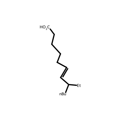 CCCCC(C=CCCCCC(=O)O)CC